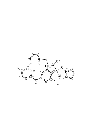 O=C(NCc1ccccc1)C(O)(Cn1cncn1)c1ccc(Oc2ccc(Cl)cc2)cc1Cl